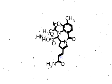 CC(=O)N1c2c(ccc(C)c2O)C(=O)N2C=C(/C=C/C(N)=O)CC2C1S(=O)(=O)O.[NaH]